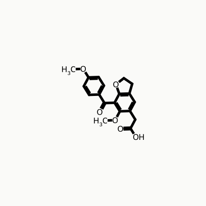 COc1ccc(C(=O)c2c(OC)c(CC(=O)O)cc3c2OCC3)cc1